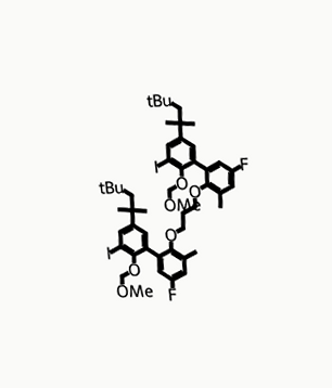 COCOc1c(I)cc(C(C)(C)CC(C)(C)C)cc1-c1cc(F)cc(C)c1OCCCOc1c(C)cc(F)cc1-c1cc(C(C)(C)CC(C)(C)C)cc(I)c1OCOC